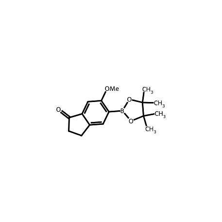 COc1cc2c(cc1B1OC(C)(C)C(C)(C)O1)CCC2=O